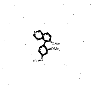 COc1cc(OC(C)(C)C)ccc1-c1c(OC)ccc2cnccc12